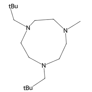 CN1CCN(CC(C)(C)C)CCN(CC(C)(C)C)CC1